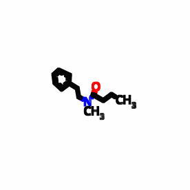 CCCC(=O)N(C)CCc1ccccc1